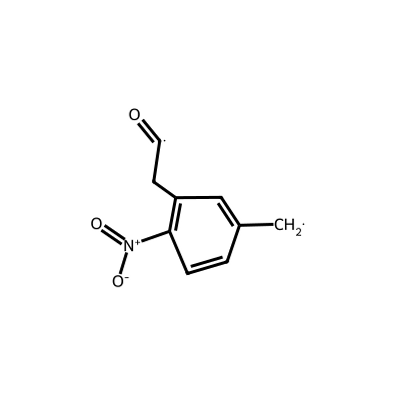 [CH2]c1ccc([N+](=O)[O-])c(C[C]=O)c1